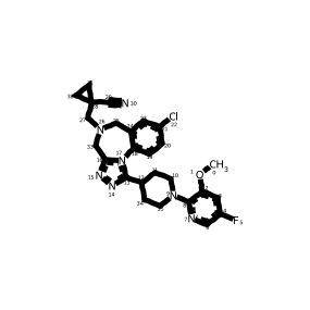 COc1cc(F)cnc1N1CCC(c2nnc3n2-c2ccc(Cl)cc2CN(CC2(C#N)CC2)C3)CC1